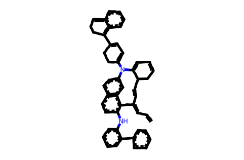 C=C/C=C(\C=C\C1CC=CC=C1N(C1=CC=C(C2=c3ccccc3=CCC2)CC1)c1ccccc1)c1ccccc1Nc1ccccc1-c1ccccc1